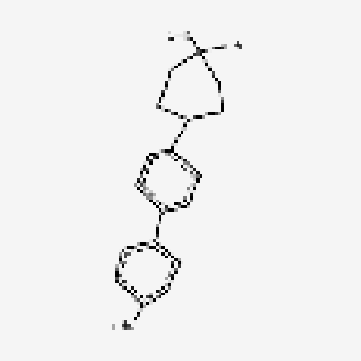 CCCCc1ccc(-c2ccc(C3CCC(C=O)(CCCC)CC3)cc2)cc1